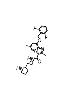 Cc1cc(OCc2c(F)cccc2F)c2nc(C)c(C(=O)NOCC3CCCN3)n2c1